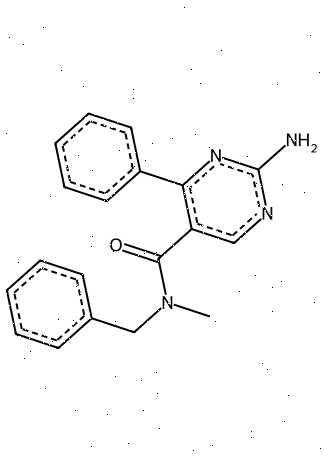 CN(Cc1ccccc1)C(=O)c1cnc(N)nc1-c1ccccc1